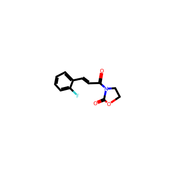 O=C(C=Cc1ccccc1F)N1CCOC1=O